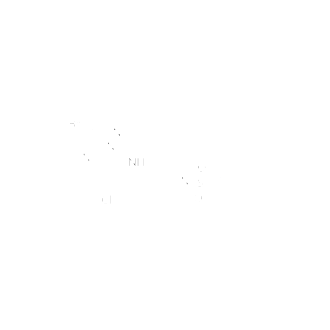 O=S(=O)(/C=C/c1ccccc1)N1CCC(CNc2cc(-c3ccccc3Cl)nc3c(Br)cnn23)CC1